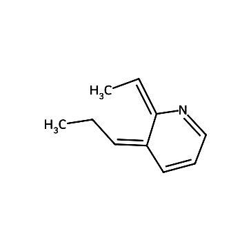 C/C=c1/nccc/c1=C/CC